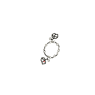 O=C(N1CCOCCOCCOCCN(C(=O)C23CC4CC(CC(C4)C2)C3)CCOCCOCC1)C12CC3CC(CC(C3)C1)C2